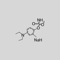 CCN(CC)c1ccc(OS(N)(=O)=O)c(C)c1.[NaH]